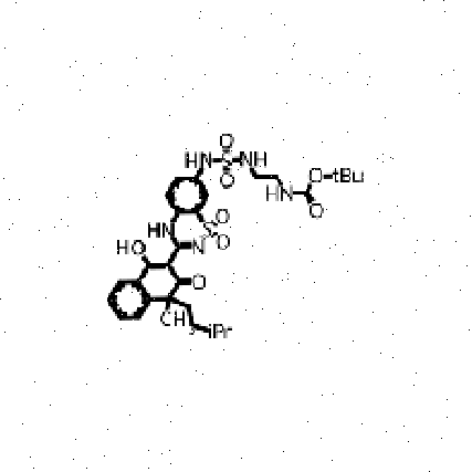 CC(C)CCC1(C)C(=O)C(C2=NS(=O)(=O)c3cc(NS(=O)(=O)NCCNC(=O)OC(C)(C)C)ccc3N2)=C(O)c2ccccc21